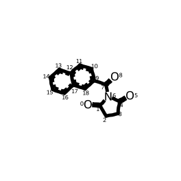 O=C1CCC(=O)N1C(=O)c1ccc2ccccc2c1